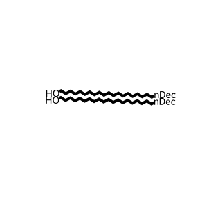 CCCCCCCCCCCCCCCCCCCCCCCCCCCCCCO.CCCCCCCCCCCCCCCCCCCCCCCCCCCCCCO